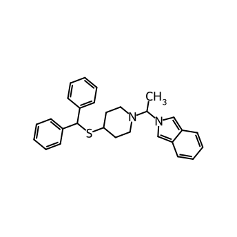 CC(N1CCC(SC(c2ccccc2)c2ccccc2)CC1)n1cc2ccccc2c1